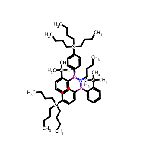 CCCCN(P(c1ccc([Si](CCCC)(CCCC)CCCC)cc1)c1ccccc1[Si](C)(C)C)P(c1ccc([Si](CCCC)(CCCC)CCCC)cc1)c1ccccc1[Si](C)(C)C